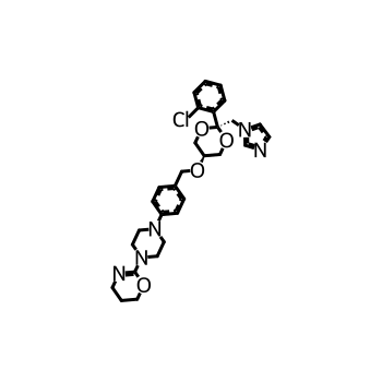 Clc1ccccc1[C@]1(Cn2ccnc2)OC[C@H](OCc2ccc(N3CCN(C4=NCCCO4)CC3)cc2)CO1